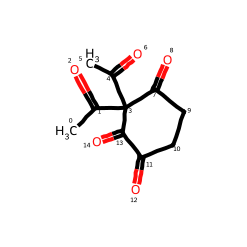 CC(=O)C1(C(C)=O)C(=O)CCC(=O)C1=O